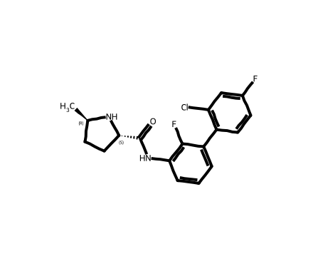 C[C@@H]1CC[C@@H](C(=O)Nc2cccc(-c3ccc(F)cc3Cl)c2F)N1